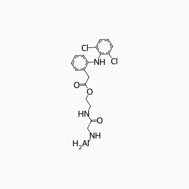 O=C(C[NH][AlH2])NCCOC(=O)Cc1ccccc1Nc1c(Cl)cccc1Cl